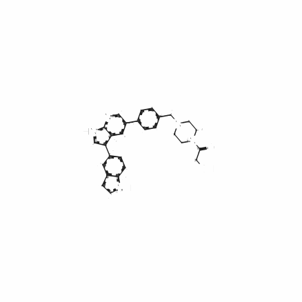 CCC(=O)N1CCN(Cc2ccc(-c3cnc4[nH]cc(-c5ccc6[nH]ccc6c5)c4c3)cc2)CC1